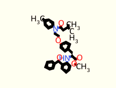 COC(=O)[C@H](Cc1ccc(OCCN(C(=O)CC(C)C)c2ccc(C)cc2)cc1)Nc1ccccc1C(=O)c1ccccc1